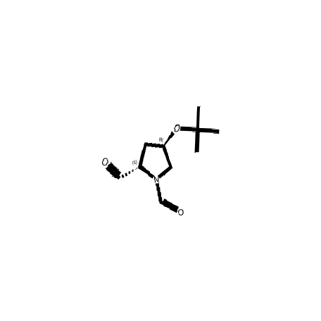 CC(C)(C)O[C@@H]1C[C@@H](C=O)N(C=O)C1